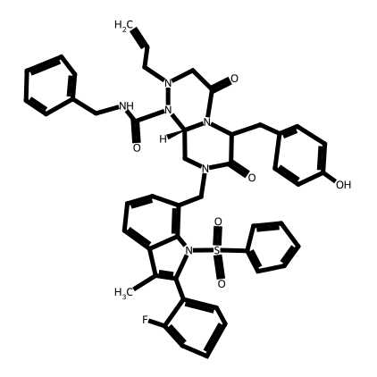 C=CCN1CC(=O)N2C(Cc3ccc(O)cc3)C(=O)N(Cc3cccc4c(C)c(-c5ccccc5F)n(S(=O)(=O)c5ccccc5)c34)C[C@@H]2N1C(=O)NCc1ccccc1